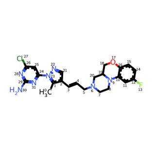 Cc1c(/C=C/CN2CCN3c4cc(F)ccc4OCC3C2)cnn1-c1cc(Cl)nc(N)n1